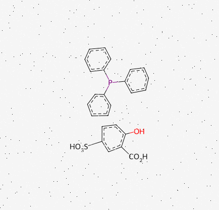 O=C(O)c1cc(S(=O)(=O)O)ccc1O.c1ccc(P(c2ccccc2)c2ccccc2)cc1